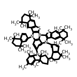 Cc1cc(C)c2c(c1)C1(C)CCC3CC1(C)N2c1cc2c4c(c1)N(c1ccc5c(c1)C3(C)CCC5(C)C)c1c(sc3cc5c(cc13)C(C)(C)CCC5(C)C)B4c1sc3cc4c(cc3c1N2c1ccc2c(c1)C(C)(C)CCC2(C)C)C(C)(C)CCC4(C)C